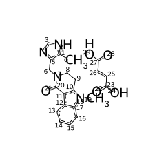 Cc1[nH]cnc1CN1CCc2c(c3ccccc3n2C)C1=O.O=C(O)C=CC(=O)O